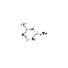 CCc1cc(C(C)C)ncn1